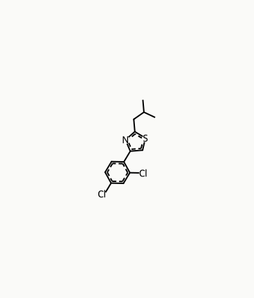 CC(C)Cc1nc(-c2ccc(Cl)cc2Cl)cs1